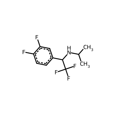 CC(C)NC(c1ccc(F)c(F)c1)C(F)(F)F